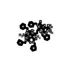 CC(C)(C)c1oc(C(=O)OCc2ccccc2)c(C(C)(C)CCC(C)(C)C2C(C(=O)OCc3ccccc3)C(C(=O)OCc3ccccc3)N(C(C)(C)C)C2C(=O)OCc2ccccc2)c1C(=O)OCc1ccccc1